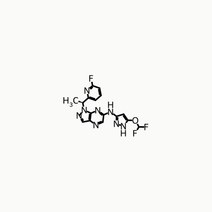 C[C@@H](c1cccc(F)n1)n1ncc2ncc(Nc3cc(OC(F)F)[nH]n3)nc21